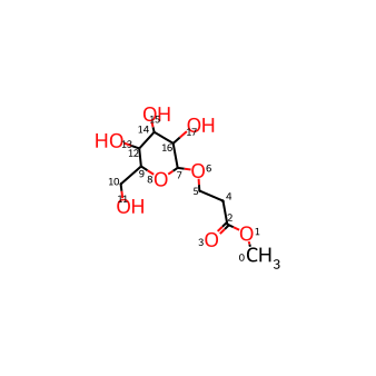 COC(=O)CCOC1OC(CO)C(O)C(O)C1O